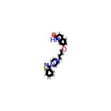 O=C1CCc2ccc(OCCCCN3CCN(c4nsc5ccccc45)CC3)cc2N1